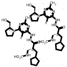 Cc1nc(NNC(=O)[C@@H](CNC(=O)O)CC2CCCC2)c(F)c(N2CCC[C@H]2CO)n1.Cc1nc(NNC(=O)[C@@H](CNC(=O)O)CC2CCCC2)c(F)c(N2CCC[C@H]2CO)n1